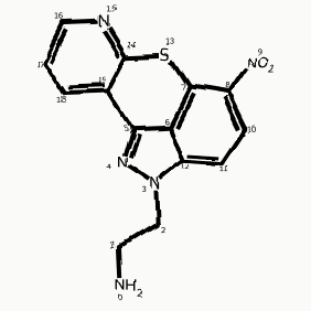 NCCn1nc2c3c(c([N+](=O)[O-])ccc31)Sc1ncccc1-2